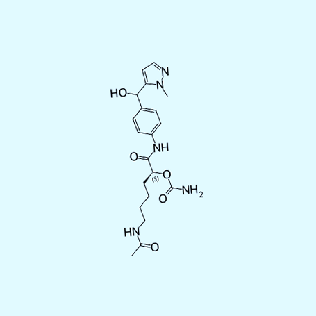 CC(=O)NCCCC[C@H](OC(N)=O)C(=O)Nc1ccc(C(O)c2ccnn2C)cc1